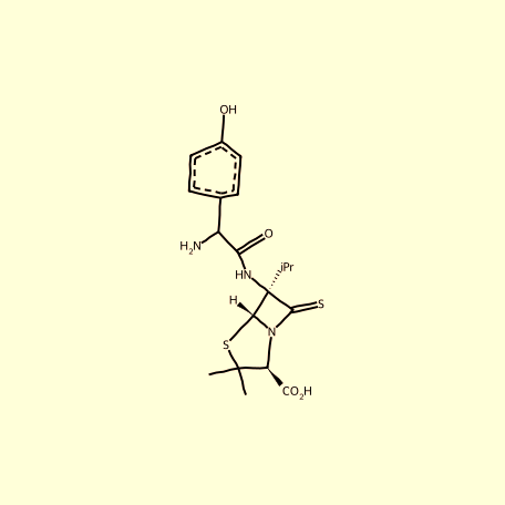 CC(C)[C@]1(NC(=O)C(N)c2ccc(O)cc2)C(=S)N2[C@@H](C(=O)O)C(C)(C)S[C@@H]21